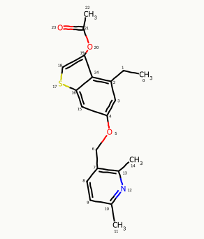 CCc1cc(OCc2ccc(C)nc2C)cc2scc(OC(C)=O)c12